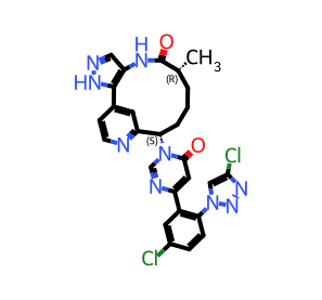 C[C@@H]1CCC[C@H](n2cnc(-c3cc(Cl)ccc3-n3cc(Cl)nn3)cc2=O)c2cc(ccn2)-c2[nH]ncc2NC1=O